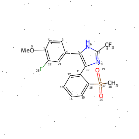 COc1ccc(-c2[nH]c(C(F)(F)F)nc2-c2ccccc2S(C)(=O)=O)cc1F